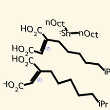 CC(C)CCCCC/C(=C/C(=O)O)C(=O)O.CC(C)CCCCC/C(=C/C(=O)O)C(=O)O.CCCCCCC[CH2][Sn][CH2]CCCCCCC